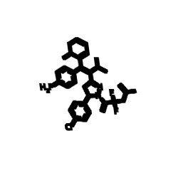 C=C(C)CC(F)(F)C(=C)N1N=C(/C(=C(/C2=CC=CCC2C)c2ccc(P)cc2)C(C)C)CC1c1ccc(Cl)cc1